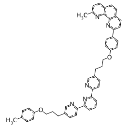 Cc1ccc(OCCCc2ccc(-c3cccc(-c4ccc(CCCOc5ccc(-c6ccc7ccc8ccc(C)nc8c7n6)cc5)cn4)n3)nc2)cc1